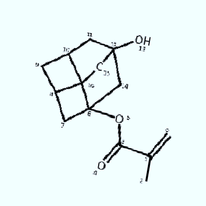 C=C(C)C(=O)OC12CC3CC4CC(O)(C1)CC432